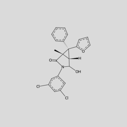 C[C@]12C(=O)N(c3cc(Cl)cc(Cl)c3)C(O)[C@H]1[C@]2(c1ccccc1)c1ccco1